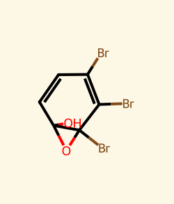 OC12C=CC(Br)=C(Br)C1(Br)O2